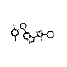 Fc1ccc(F)c([C@H]2CCCN2c2ccn3ncc(-c4nnc(C5CCOCC5)[nH]4)c3n2)c1